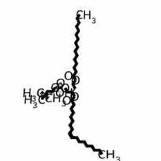 CCCCCCCC/C=C\CCCCCCCC(=O)O[C@H](CCOC(=O)CCCCCCCCCCCCCCC)COP(=O)(O)OCC[N+](C)(C)C